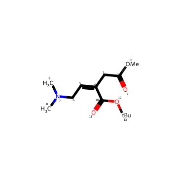 COC(=O)CC(=CCN(C)C)C(=O)OC(C)(C)C